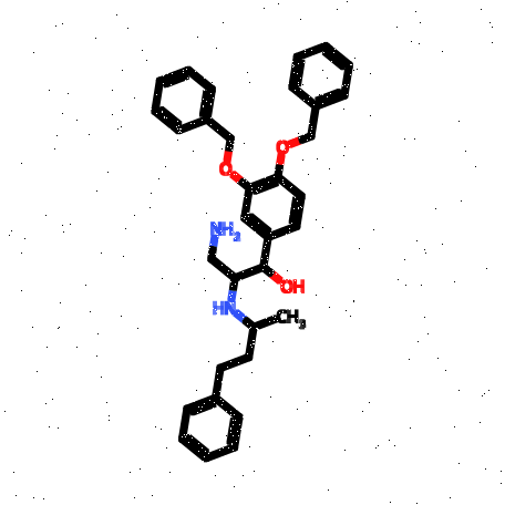 CC(CCc1ccccc1)NC(CN)C(O)c1ccc(OCc2ccccc2)c(OCc2ccccc2)c1